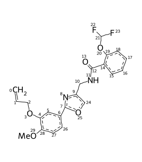 C=CCOc1cc(-c2nc(CNC(=O)c3ccccc3OC(F)F)co2)ccc1OC